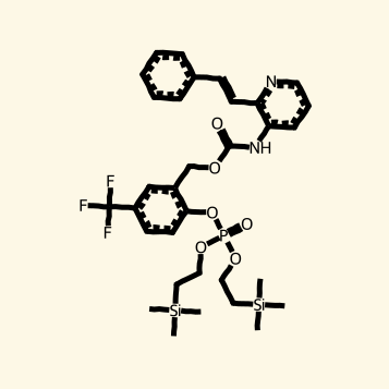 C[Si](C)(C)CCOP(=O)(OCC[Si](C)(C)C)Oc1ccc(C(F)(F)F)cc1COC(=O)Nc1cccnc1C=Cc1ccccc1